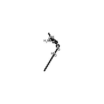 CCCCCCCCCCCCCCCCCC(=O)NCCCCC(=O)N1CCCN(c2ccc(Cn3cc4nc(N)nc(NCCCC)c4n3)c(OC)c2)CC1